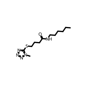 CCCCCCNC(=O)CCCSc1nnnn1C